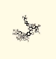 Cc1c(-c2c(C)c(Br)nn2C)nc(-c2cc(OC[C@@H](CN(C)C(=O)O)O[Si](C)(C)C(C)(C)C)ccc2Cl)nc1N1CC2(CN(CC(F)(F)F)C2)C1